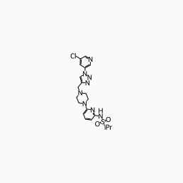 CC(C)S(=O)(=O)Nc1cccc(N2CCN(Cc3cn(-c4cncc(Cl)c4)nn3)CC2)n1